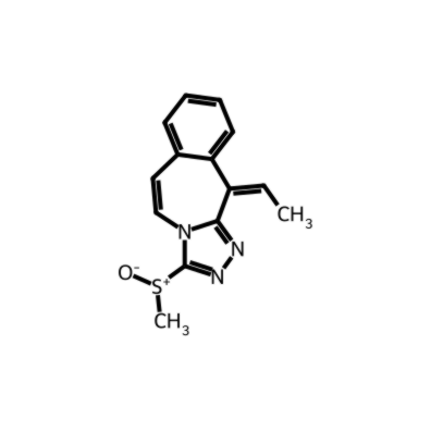 CC=C1c2ccccc2C=Cn2c1nnc2[S+](C)[O-]